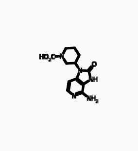 Nc1nccc2c1[nH]c(=O)n2C1CCCN(C(=O)O)C1